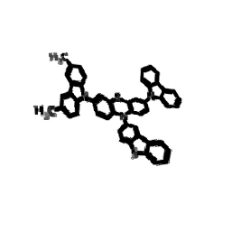 Cc1ccc2c(c1)c1cc(C)ccc1n2-c1ccc2c(c1)Sc1cc(-n3c4ccccc4c4ccccc43)ccc1N2c1ccc2sc3ccccc3c2c1